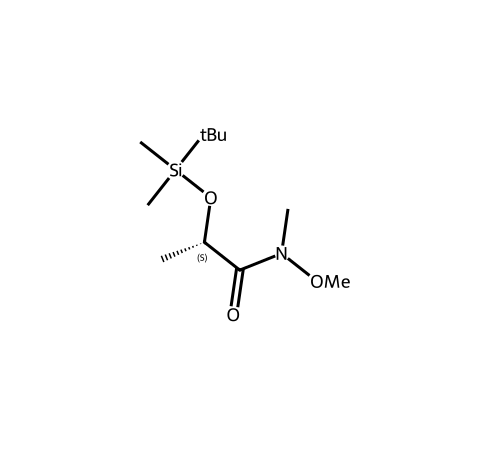 CON(C)C(=O)[C@H](C)O[Si](C)(C)C(C)(C)C